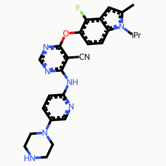 Cc1cc2c(F)c(Oc3ncnc(Nc4ccc(N5CCNCC5)cn4)c3C#N)ccc2n1C(C)C